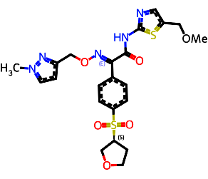 COCc1cnc(NC(=O)/C(=N/OCc2ccn(C)n2)c2ccc(S(=O)(=O)[C@H]3CCOC3)cc2)s1